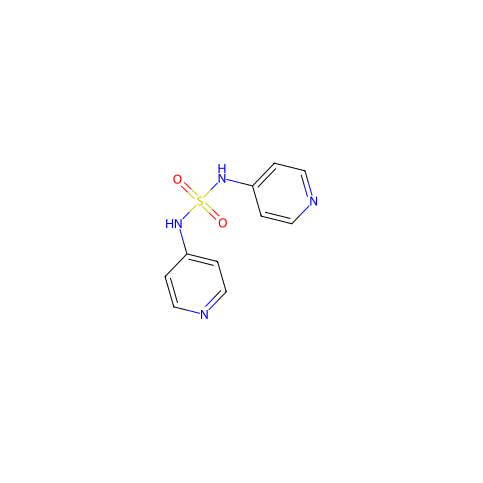 O=S(=O)(Nc1ccncc1)Nc1ccncc1